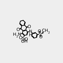 C=CS(=O)(=O)c1cccc(Nc2cc(S(=O)(=O)O)c(N)c3c2C(=O)C2=CCCC=C2C3=O)c1